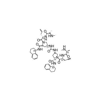 C#CC[C@H](NC(=O)[C@H](C)NC)C(=O)N1C[C@@H](NC(=O)N[C@H]2C[C@@H](C(=O)N[C@@H]3CCCc4ccccc43)N(C(=O)[C@H](CC=C)NC(=O)[C@H](C)NC)C2)C[C@H]1C(=O)N[C@@H]1CCCc2ccccc21